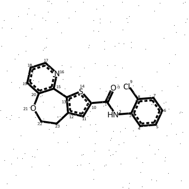 O=C(Nc1ccccc1Cl)c1cc2c(s1)-c1ncccc1OCC2